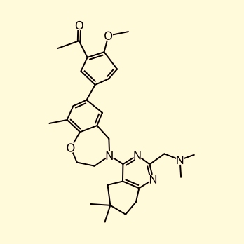 COc1ccc(-c2cc(C)c3c(c2)CN(c2nc(CN(C)C)nc4c2CC(C)(C)CC4)CCO3)cc1C(C)=O